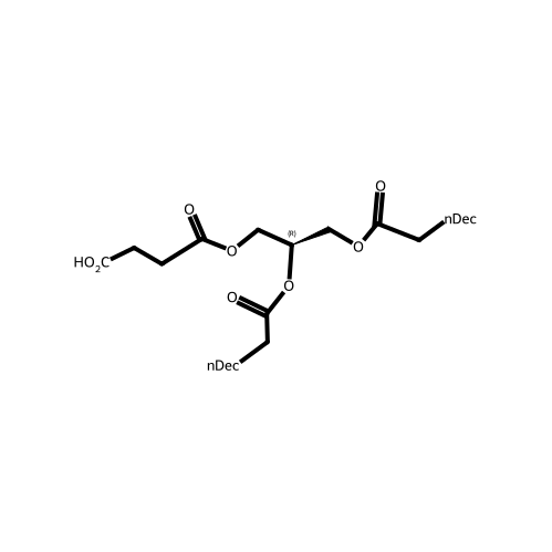 CCCCCCCCCCCC(=O)OC[C@H](COC(=O)CCC(=O)O)OC(=O)CCCCCCCCCCC